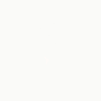 CC1(C)C(CC(Cl)(Cl)Cl)C1(Cc1cccc(Oc2ccccc2)c1)C(=O)O